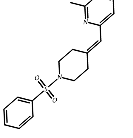 Cc1cccc(C=C2CCN(S(=O)(=O)c3ccccc3)CC2)n1